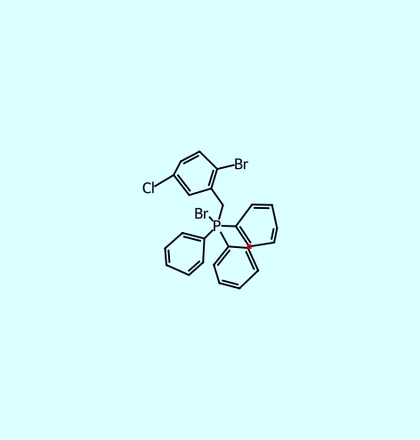 Clc1ccc(Br)c(CP(Br)(c2ccccc2)(c2ccccc2)c2ccccc2)c1